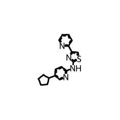 c1ccc(-c2csc(Nc3ccc(C4CCCC4)cn3)n2)nc1